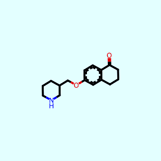 O=C1CCCc2cc(OCC3CCCNC3)ccc21